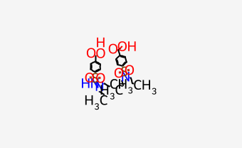 CCCN(CCC)NS(=O)(=O)c1ccc(C(=O)O)cc1.CCCN(CCC)S(=O)(=O)c1ccc(C(=O)O)cc1